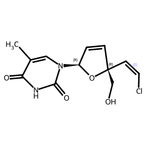 Cc1cn([C@H]2C=C[C@@](/C=C\Cl)(CO)O2)c(=O)[nH]c1=O